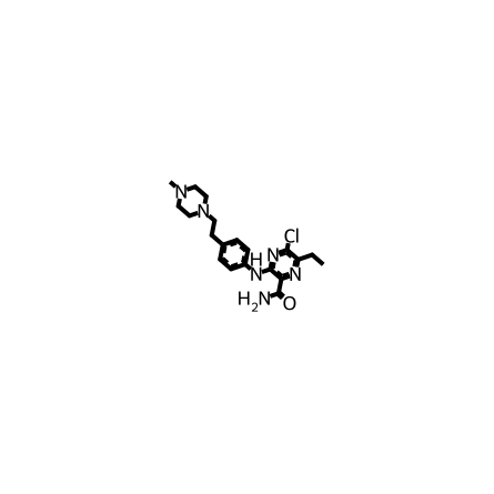 CCc1nc(C(N)=O)c(Nc2ccc(CCN3CCN(C)CC3)cc2)nc1Cl